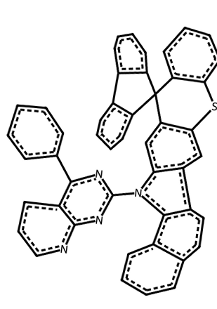 c1ccc(-c2nc(-n3c4cc5c(cc4c4ccc6ccccc6c43)Sc3ccccc3C53c4ccccc4-c4ccccc43)nc3ncccc23)cc1